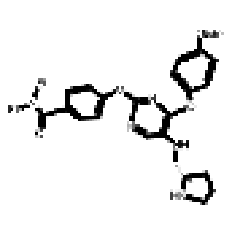 CCN(CC)C(=O)c1ccc(Oc2ncc(NC[C@@H]3CCCN3)c(Oc3ccc(OC)cc3)n2)cc1